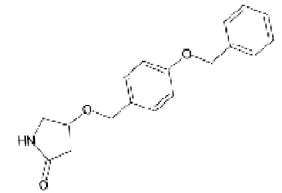 O=C1CC(OCc2ccc(OCc3ccccc3)cc2)CN1